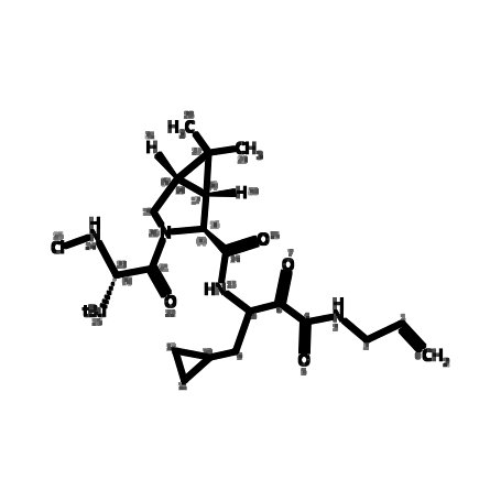 C=CCNC(=O)C(=O)C(CC1CC1)NC(=O)[C@@H]1[C@@H]2[C@H](CN1C(=O)[C@@H](NCl)C(C)(C)C)C2(C)C